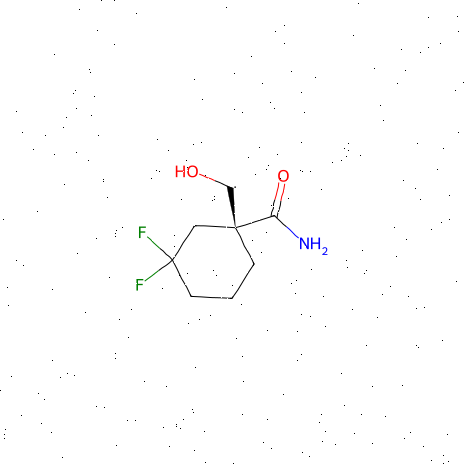 NC(=O)[C@]1([CH]O)CCCC(F)(F)C1